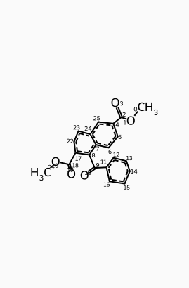 COC(=O)c1ccc2c(C(=O)c3ccccc3)c(C(=O)OC)ccc2c1